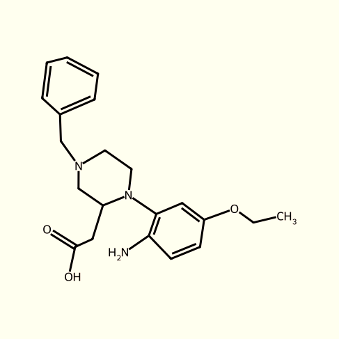 CCOc1ccc(N)c(N2CCN(Cc3ccccc3)CC2CC(=O)O)c1